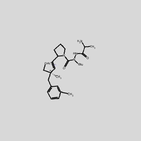 CC(=O)OC[C@@](C)(/C=C/C1CCCN1C(=O)N(NC(=O)C(C)N)C(C)(C)C)Cc1cccc(C)c1